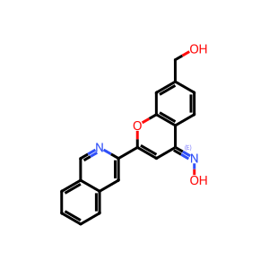 OCc1ccc2/c(=N/O)cc(-c3cc4ccccc4cn3)oc2c1